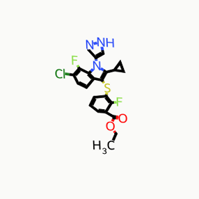 CCOC(=O)c1cccc(Sc2c(C3CC3)n(-c3cn[nH]c3)c3c(F)c(Cl)ccc23)c1F